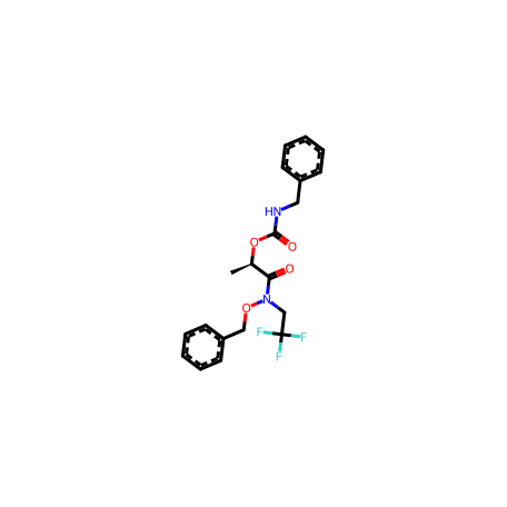 C[C@@H](OC(=O)NCc1ccccc1)C(=O)N(CC(F)(F)F)OCc1ccccc1